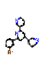 Brc1cccc(-c2cc(-c3cccnc3)cc(-c3cccnc3)n2)c1